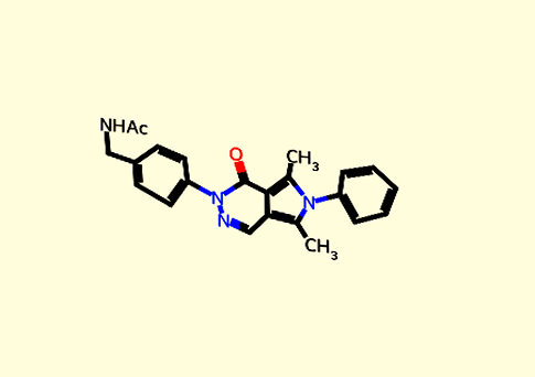 CC(=O)NCc1ccc(-n2ncc3c(C)n(-c4ccccc4)c(C)c3c2=O)cc1